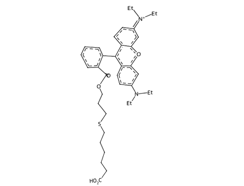 CCN(CC)c1ccc2c(-c3ccccc3C(=O)OCCCSCCCCCC(=O)O)c3ccc(=[N+](CC)CC)cc-3oc2c1